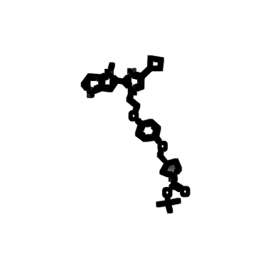 Cn1c(-c2nc(C3CCC3)cn2CCOc2ccc(OC[C@H]3CCN(C(=O)OC(C)(C)C)C3)cc2)cc2sccc21